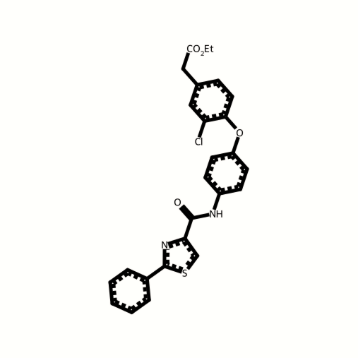 CCOC(=O)Cc1ccc(Oc2ccc(NC(=O)c3csc(-c4ccccc4)n3)cc2)c(Cl)c1